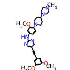 COc1cc(C#Cc2cnc(Nc3ccc(N4CCC(N5CCN(C)CC5)CC4)c(OC)c3)nc2)cc(OC)c1